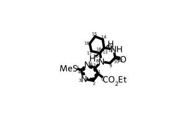 CCOC(=O)c1cnc(SC)nc1N1CC(=O)N[C@@H]2CCCC[C@H]21